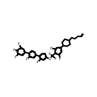 C=CCCCC1CCC(c2cc(F)c(C(F)(F)Oc3ccc(-c4ccc(-c5cc(F)c(F)c(F)c5)c(F)c4)c(F)c3)c(F)c2)CC1